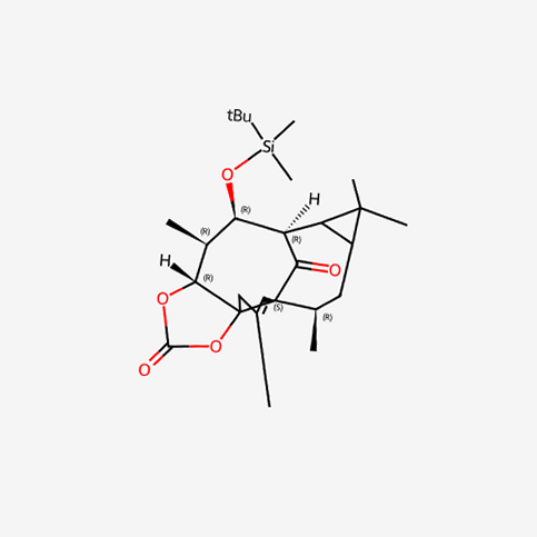 CC1=C[C@@]23C(=O)[C@H](C4C(C[C@H]2C)C4(C)C)[C@H](O[Si](C)(C)C(C)(C)C)[C@H](C)[C@H]2OC(=O)OC23C1